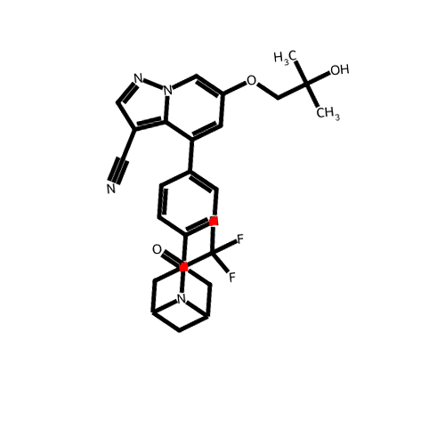 CC(C)(O)COc1cc(-c2ccc(N3CC4CC(C3)N4C(=O)C(F)(F)F)nc2)c2c(C#N)cnn2c1